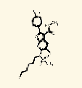 CNC(=O)c1c(-c2ccc(C)cc2)oc2nc(N(CCCCCO)S(C)(=O)=O)c(I)cc12